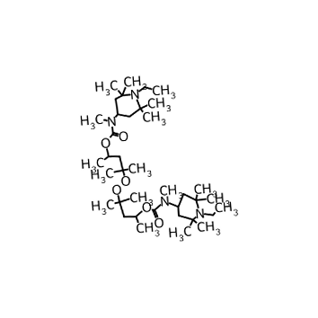 CCN1C(C)(C)CC(N(C)C(=O)OC(C)CC(C)(C)OOC(C)(C)CC(C)OC(=O)N(C)C2CC(C)(C)N(CC)C(C)(C)C2)CC1(C)C